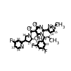 CC[C@@H](c1cc(F)cc(F)c1)n1c(-c2ccn(C)n2)nc(=O)c(C(=O)N2CCC(c3cc(F)ccn3)C2)c1O